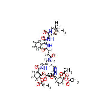 CC(=O)Oc1cccc(C(=O)NCCCCN(CCCNC(=O)c2cccc(OC(C)=O)c2OC(C)=O)C(=O)CCC(=O)N[C@@H](C(=O)N[C@@H]2C(=O)N3CC(C)(C)SC23)c2ccccc2)c1OC(C)=O